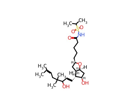 CC(C)=CCC(C)(C)C(O)C=C[C@@H]1[C@H]2C[C@@H](CCCCC(=O)NS(=O)(=O)C(C)C)O[C@H]2C[C@H]1O